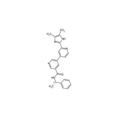 Cc1nc(-c2cc(-c3cncc(C(=O)N[C@@H](C)c4ccccc4)c3)ccn2)[nH]c1C